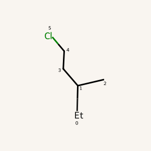 CCC(C)CCCl